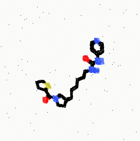 O=C(NCCCCCCC1CCN(C(=O)C2CCCS2)C1)Nc1ccncc1